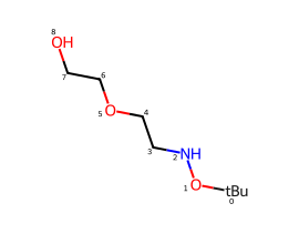 CC(C)(C)ONCCOCCO